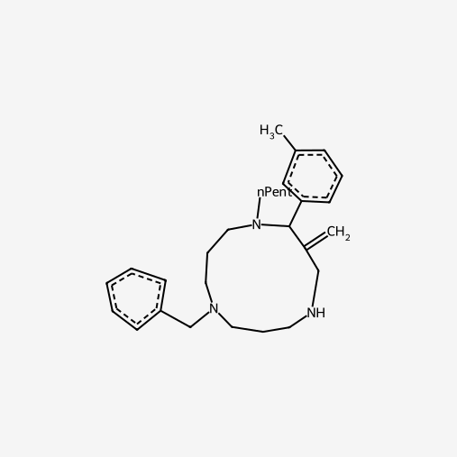 C=C1CNCCCN(Cc2ccccc2)CCCN(CCCCC)C1c1cccc(C)c1